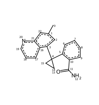 Cc1cc(C2(c3ccccc3C(N)=O)CC2)c2cccnc2c1